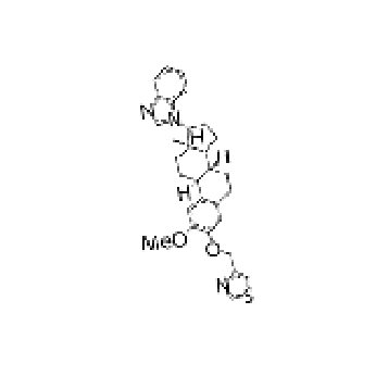 COc1cc2c(cc1OCc1cscn1)CC[C@@H]1[C@@H]2CC[C@]2(C)C(n3cnc4ccccc43)CC[C@@H]12